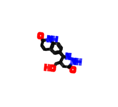 O=C1CC(CO)C(c2ccc3c(c2)CCC(=O)N3)=NN1